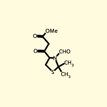 COC(=O)CC(=O)C1CSC(C)(C)N1C=O